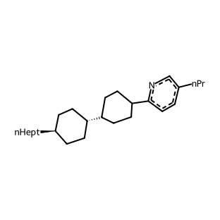 CCCCCCC[C@H]1CC[C@H](C2CCC(c3ccc(CCC)cn3)CC2)CC1